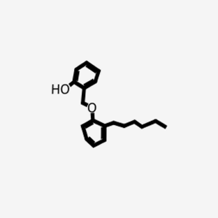 CCCCCCc1ccccc1OCc1ccccc1O